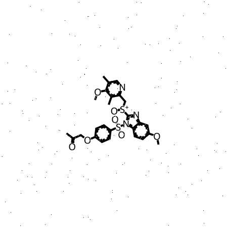 COc1ccc2c(c1)nc([S+]([O-])Cc1ncc(C)c(OC)c1C)n2S(=O)(=O)c1ccc(OCC(C)=O)cc1